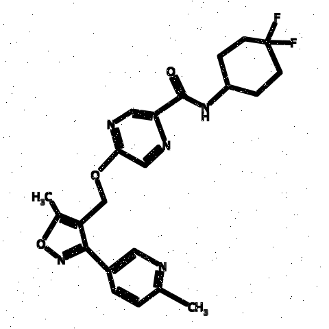 Cc1ccc(-c2noc(C)c2COc2cnc(C(=O)NC3CCC(F)(F)CC3)cn2)cn1